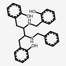 Oc1ccccc1CNC(Cc1ccccc1O)C(Cc1ccccc1O)NCc1ccccc1